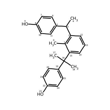 Cc1c(C(C)c2ccc(O)cc2)cccc1C(C)(C)c1ccc(O)cc1